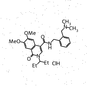 CCC(CC)n1cc(C(=O)NCc2ccccc2CN(C)C)c2cc(OC)c(OC)cc2c1=O.Cl